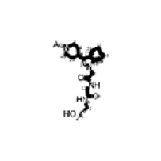 CC(=O)N1CCC(c2nn(CC(=O)NCC(=O)NCC(=O)O)c3ccccc23)CC1